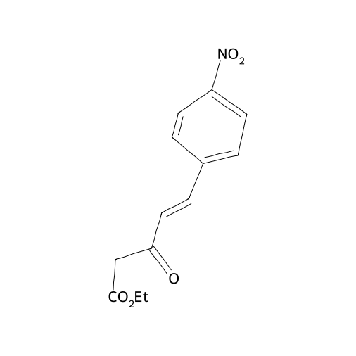 CCOC(=O)CC(=O)/C=C/c1ccc([N+](=O)[O-])cc1